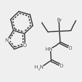 CCC(Br)(CC)C(=O)NC(N)=O.c1ccc2ocnc2c1